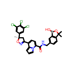 CC1(C)OB(O)c2cc(CNC(=O)c3ccc(C4=NO[C@@](C)(c5cc(Cl)c(Cl)c(Cl)c5)C4)c4cccn34)ccc21